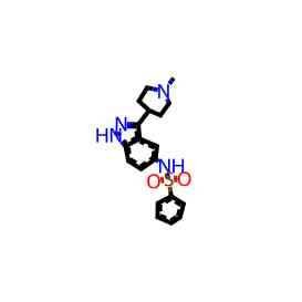 CN1CCC(c2n[nH]c3ccc(NS(=O)(=O)c4ccccc4)cc23)CC1